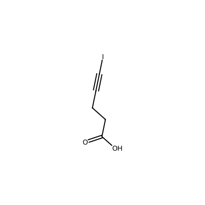 O=C(O)CCC#CI